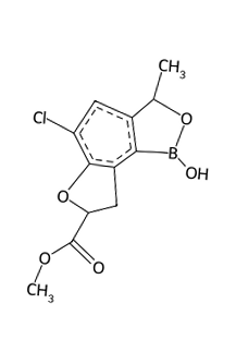 COC(=O)C1Cc2c(c(Cl)cc3c2B(O)OC3C)O1